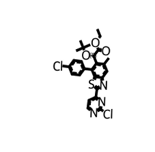 CCOC(=O)[C@@H](OC(C)(C)C)c1c(C)cc2nc(-c3ccnc(Cl)n3)sc2c1-c1ccc(Cl)cc1